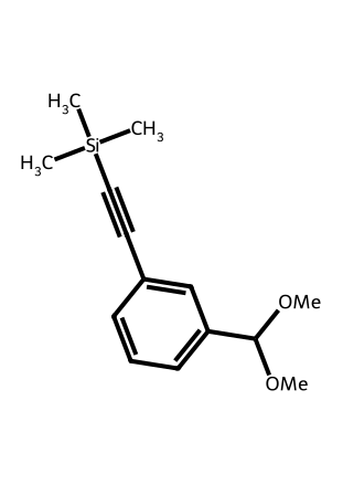 COC(OC)c1cccc(C#C[Si](C)(C)C)c1